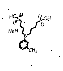 Cc1cccc(N(CCCCS(=O)(=O)O)CCCCS(=O)(=O)O)c1.[NaH]